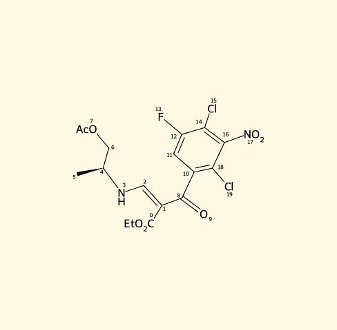 CCOC(=O)C(=CN[C@@H](C)COC(C)=O)C(=O)c1cc(F)c(Cl)c([N+](=O)[O-])c1Cl